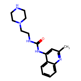 Cc1cc(NC(=O)NCCN2CCNCC2)c2ccccc2n1